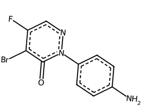 Nc1ccc(-n2ncc(F)c(Br)c2=O)cc1